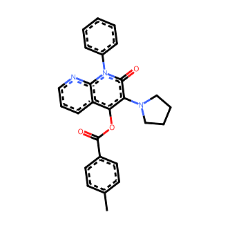 Cc1ccc(C(=O)Oc2c(N3CCCC3)c(=O)n(-c3ccccc3)c3ncccc23)cc1